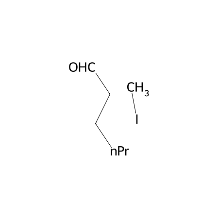 CCCCCC=O.CI